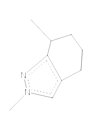 CC1CCCc2cn(C)nc21